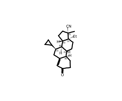 CC[C@]12CC[C@H]3[C@@H]([C@H](C4CC4)CC4=CC(=O)CC[C@@H]43)[C@@H]1CC[C@]2(C)C#N